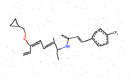 C=C/C(=C\C=C(/C)C(C)NC(=C)/C=C/c1ccc(C(F)(F)F)cc1)OCC1CC1